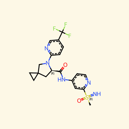 C[S@@](=N)(=O)c1cc(NC(=O)[C@H]2CC3(CC3)CN2c2ccc(C(F)(F)F)cn2)ccn1